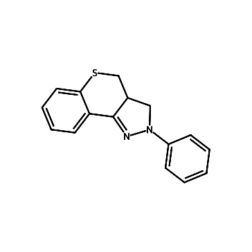 c1ccc(N2CC3CSc4ccccc4C3=N2)cc1